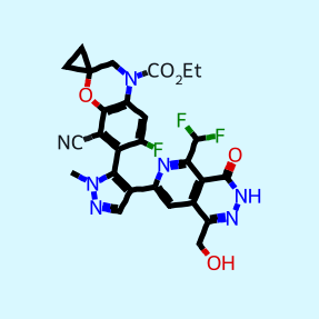 CCOC(=O)N1CC2(CC2)Oc2c1cc(F)c(-c1c(-c3cc4c(CO)n[nH]c(=O)c4c(C(F)F)n3)cnn1C)c2C#N